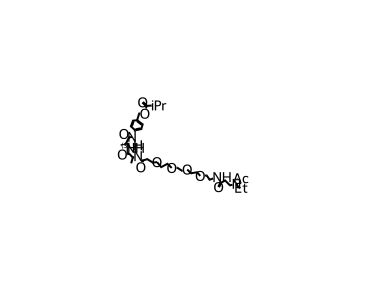 CCN(CCC(=O)NCCOCCOCCOCCOCCC(=O)NC(C)C(=O)N[C@@H](C)C(=O)Nc1ccc(COC(=O)C(C)C)cc1)C(C)=O